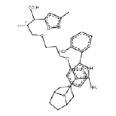 Cc1cc(C(C(=O)O)[C@@H](C)COCCCOc2cc(N3C4CCC3CN(c3cc(-c5ccccc5O)[nH]c3N)C4)ccn2)on1